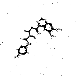 COc1cc2ncnc(C(=N)CC(C)N(C)C(=O)Nc3ccc(C(C)C)cc3)c2cc1OC